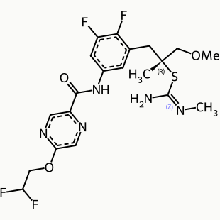 C/N=C(/N)S[C@@](C)(COC)Cc1cc(NC(=O)c2cnc(OCC(F)F)cn2)cc(F)c1F